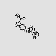 O=C(N[C@H]1CN2CCC1CC2)c1cc2c(C(=O)N3CC3)coc2cn1